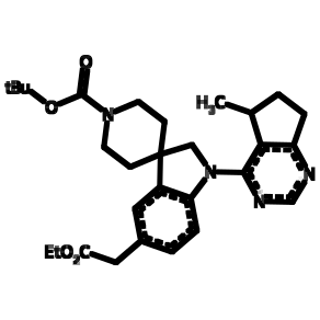 CCOC(=O)Cc1ccc2c(c1)C1(CCN(C(=O)OC(C)(C)C)CC1)CN2c1ncnc2c1C(C)CC2